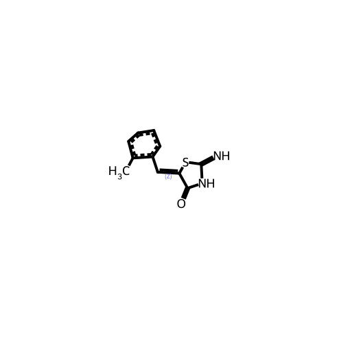 Cc1ccccc1/C=C1\SC(=N)NC1=O